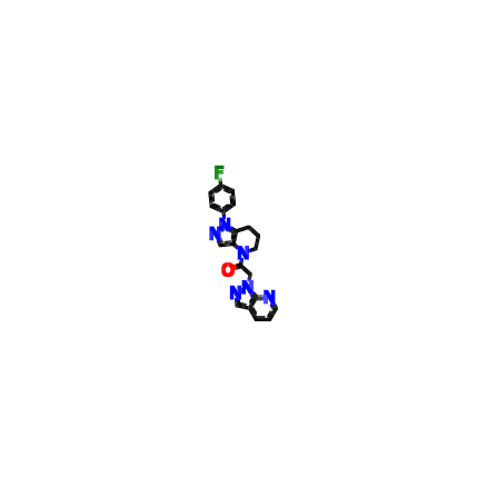 O=C(Cn1ncc2cccnc21)N1CCCc2c1cnn2-c1ccc(F)cc1